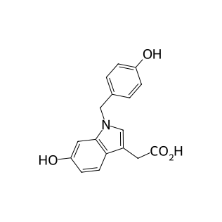 O=C(O)Cc1cn(Cc2ccc(O)cc2)c2cc(O)ccc12